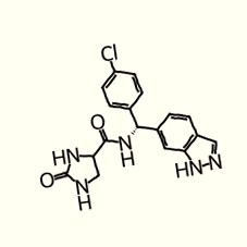 O=C1NCC(C(=O)N[C@H](c2ccc(Cl)cc2)c2ccc3cn[nH]c3c2)N1